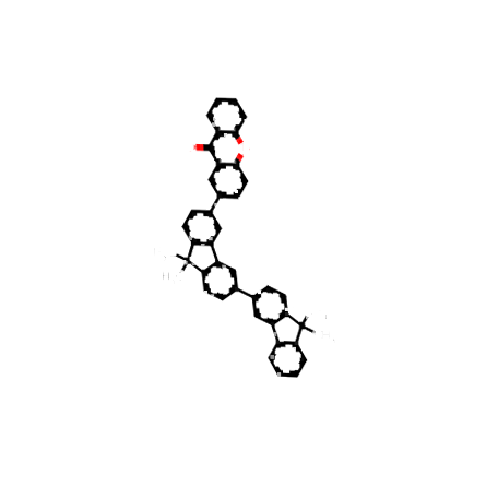 CC1(C)c2ccccc2-c2cc(-c3ccc4c(c3)-c3cc(-c5ccc6oc7ccccc7c(=O)c6c5)ccc3C4(C)C)ccc21